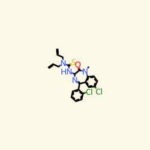 C=CCN(CC=C)C(=S)NC1N=C(c2ccccc2Cl)c2cc(Cl)ccc2N(C)C1=O